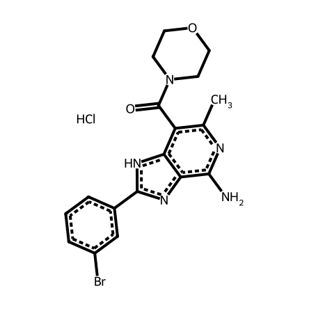 Cc1nc(N)c2nc(-c3cccc(Br)c3)[nH]c2c1C(=O)N1CCOCC1.Cl